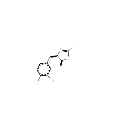 CC1=NC(=Cc2ccc(Cl)c(Cl)c2)C(=O)O1